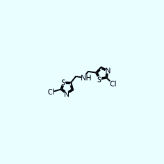 Clc1ncc(CNCc2cnc(Cl)s2)s1